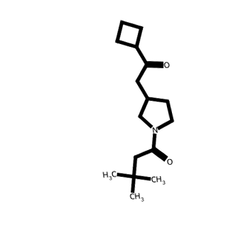 CC(C)(C)CC(=O)N1CCC(CC(=O)C2CCC2)C1